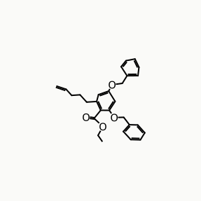 C=CCCCc1cc(OCc2ccccc2)cc(OCc2ccccc2)c1C(=O)OCC